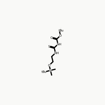 CC(C)(C)OC(=O)NC(=S)NCCO[Si](C)(C)C(C)(C)C